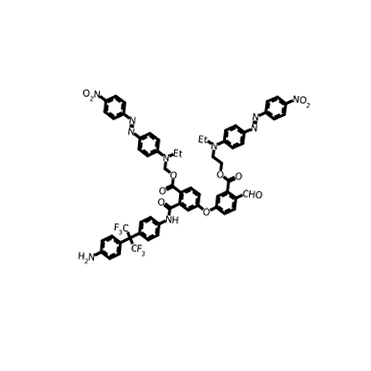 CCN(CCOC(=O)c1cc(Oc2ccc(C(=O)OCN(CC)c3ccc(/N=N/c4ccc([N+](=O)[O-])cc4)cc3)c(C(=O)Nc3ccc(C(c4ccc(N)cc4)(C(F)(F)F)C(F)(F)F)cc3)c2)ccc1C=O)c1ccc(/N=N/c2ccc([N+](=O)[O-])cc2)cc1